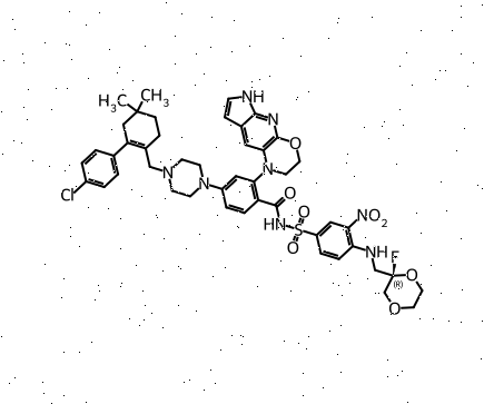 CC1(C)CCC(CN2CCN(c3ccc(C(=O)NS(=O)(=O)c4ccc(NC[C@@]5(F)COCCO5)c([N+](=O)[O-])c4)c(N4CCOc5nc6[nH]ccc6cc54)c3)CC2)=C(c2ccc(Cl)cc2)C1